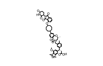 COc1cc([C@@H](CC(=O)O)c2ccc(C)c(CN3C[C@@H](C)Oc4cc(C5CCCC(Oc6cccc7c6C(=O)N(C6CCC(=O)NC6=O)C7=O)CCC5)ccc4S3(=O)=O)c2)cc2nnn(C)c12